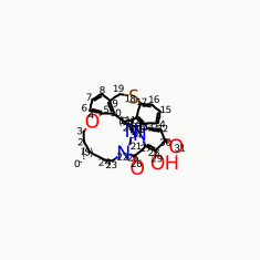 C[C@@H]1CCOc2cccc3c2[C@@H](c2ccccc2SC3)N2CN(CC1)C(=O)c1c(O)c(=O)ccn12